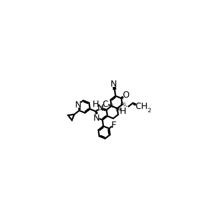 C=CC[C@H]1C(=O)C(C#N)=C[C@@]2(C)c3nc(-c4ccnc(C5CC5)c4)nc(-c4ccccc4F)c3CC[C@H]12